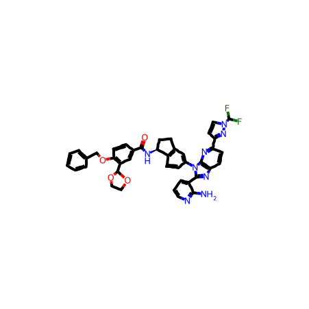 Nc1ncccc1-c1nc2ccc(-c3ccn(C(F)F)n3)nc2n1-c1ccc2c(c1)CC[C@@H]2NC(=O)c1ccc(OCc2ccccc2)c(C2OCCO2)c1